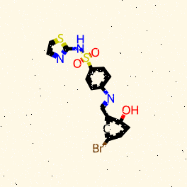 O=S(=O)(Nc1nccs1)c1ccc(/N=C/c2cc(Br)ccc2O)cc1